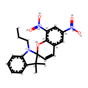 CCCN1c2ccccc2C(C)(C)C12C=Cc1cc([N+](=O)[O-])cc([N+](=O)[O-])c1O2